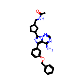 CC(=O)NCC1CCC(c2nc(-c3cccc(OCc4ccccc4)c3)c3c(N)ncnn23)C1